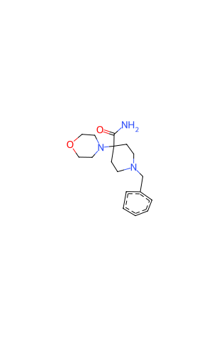 NC(=O)C1(N2CCOCC2)CCN(Cc2ccccc2)CC1